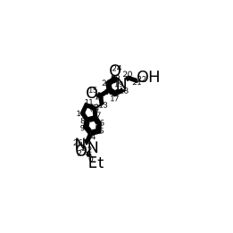 CCc1nc(-c2ccc3c(c2)CC[C@H]3CC(=O)c2ccn(CCO)c(=O)c2)no1